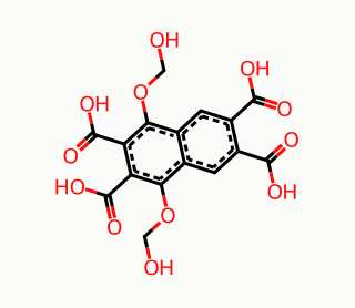 O=C(O)c1cc2c(OCO)c(C(=O)O)c(C(=O)O)c(OCO)c2cc1C(=O)O